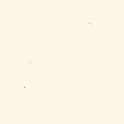 COc1cc(C(C)c2ccc(N(C)C)cc2)cc(OC)c1OC